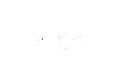 CC(C)(C)OC(=O)OC1CCC(C(=O)C(S)C(C)(C)C)CC1C(F)(F)F